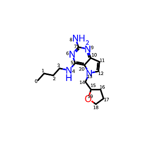 CCCCNc1nc(N)nc2ccn(CC3CCCO3)c12